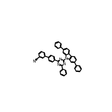 N#Cc1cccc(-c2ccc(-c3nc(-c4ccccc4)nc(-n4c5cc(-c6ccccc6)ccc5c5ccc(-c6ccccc6)cc54)n3)cc2)c1